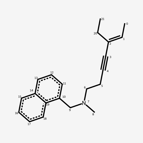 C/C=C(/C#CCCN(C)Cc1cccc2ccccc12)CC